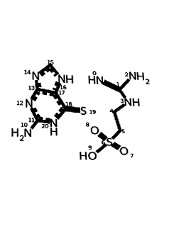 N=C(N)NCCS(=O)(=O)O.Nc1nc2nc[nH]c2c(=S)[nH]1